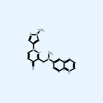 CN(Cc1nn(-c2cnn(C)c2)ccc1=O)c1ccc2ncccc2c1